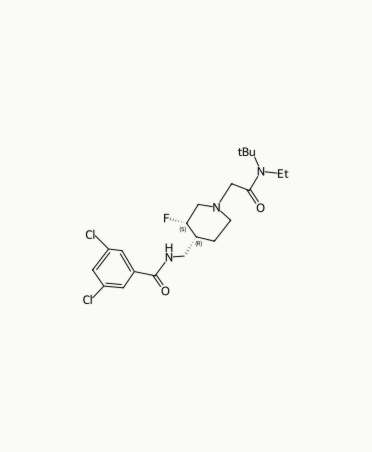 CCN(C(=O)CN1CC[C@H](CNC(=O)c2cc(Cl)cc(Cl)c2)[C@H](F)C1)C(C)(C)C